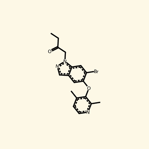 CCC(=O)Cn1ncc2cc(Oc3c(C)ccnc3C)c(Br)cc21